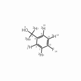 [2H]c1c([2H])c(C([2H])([2H])O)c([2H])c([2H])c1F